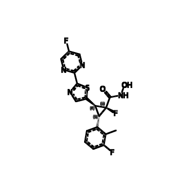 Cc1c(F)cccc1[C@@H]1[C@@H](c2cnc(-c3ncc(F)cn3)s2)[C@]1(F)C(=O)NO